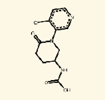 O=C(O)NC1CCC(=O)N(c2cnccc2Cl)C1